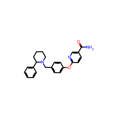 NC(=O)c1ccc(Oc2ccc(CN3CCCCC3c3ccccc3)cc2)nc1